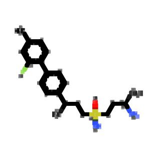 Cc1ccc(-c2ccc(C(CCS(=N)(=O)CC[C@H](N)C(=O)O)C(F)(F)F)cc2)c(F)c1